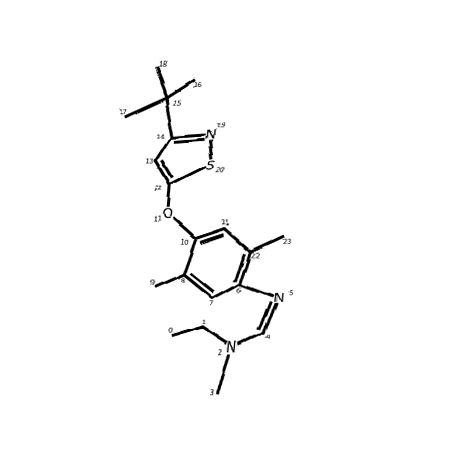 CCN(C)/C=N\c1cc(C)c(Oc2cc(C(C)(C)C)ns2)cc1C